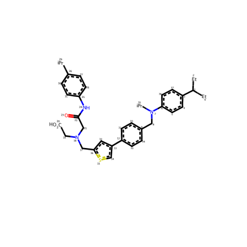 CCC(CC)c1ccc(N(Cc2ccc(-c3csc(CN(CC(=O)O)CC(=O)Nc4ccc(C(C)C)cc4)c3)cc2)C(C)C)cc1